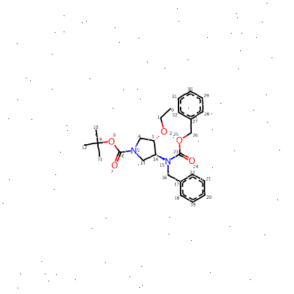 CCO[C@H]1CN(C(=O)OC(C)(C)C)C[C@@H]1N(Cc1ccccc1)C(=O)OCc1ccccc1